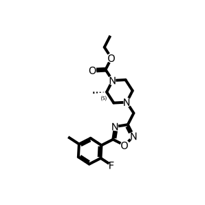 CCOC(=O)N1CCN(Cc2noc(-c3cc(C)ccc3F)n2)C[C@@H]1C